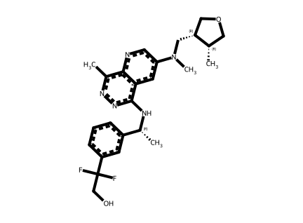 Cc1nnc(N[C@H](C)c2cccc(C(F)(F)CO)c2)c2cc(N(C)C[C@@H]3COC[C@@H]3C)cnc12